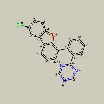 Clc1ccc2oc3c(-c4ccccc4-c4ncncn4)cccc3c2c1